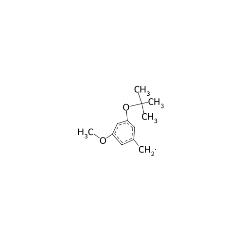 [CH2]c1cc(OC)cc(OC(C)(C)C)c1